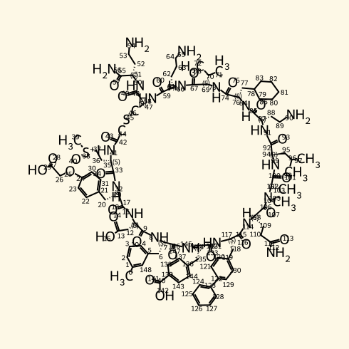 Cc1cccc(C[C@@H]2NC(=O)[C@H](CC(=O)O)NC(=O)[C@H](Cc3ccc(OCC(=O)O)cc3)NC(=O)[C@H](CC[S+](C)[O-])NC(=O)CSC[C@@H](C(=O)N[C@@H](CCN)C(N)=O)NC(=O)[C@H](CCCN)NC(=O)[C@H](C(C)C)NC(=O)[C@H](CC3CCCCC3)NC(=O)[C@H](CCN)NC(=O)[C@@H](CC(C)C)NC(=O)[C@H](C)N(C)C(=O)[C@H](CCC(N)=O)NC(=O)[C@H](Cc3ccc(-c4ccccc4)cc3)NC(=O)[C@H](Cc3ccc(C(=O)O)cc3)NC2=O)c1